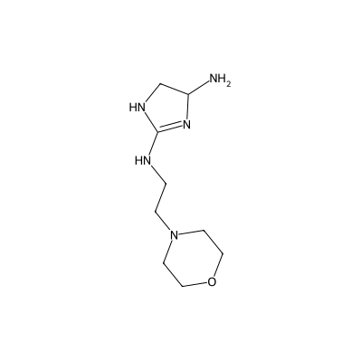 NC1CNC(NCCN2CCOCC2)=N1